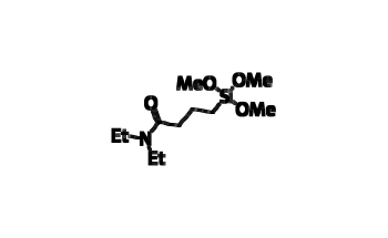 CCN(CC)C(=O)CCC[Si](OC)(OC)OC